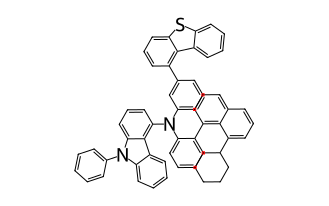 c1ccc(-n2c3ccccc3c3c(N(c4cccc(-c5cccc6sc7ccccc7c56)c4)c4ccccc4-c4cccc5cccc(C6CCCCC6)c45)cccc32)cc1